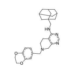 c1nc2c(c(NCC34CC5CC(CC(C5)C3)C4)n1)CCN(Cc1ccc3c(c1)OCCO3)C2